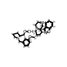 COCC1CCCN1Cc1cccc(OC[C@H]2CC[C@@]3(c4noc5ccccc45)CNCCN3C2)c1